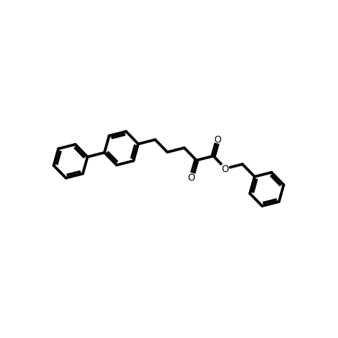 O=C(CCCc1ccc(-c2ccccc2)cc1)C(=O)OCc1ccccc1